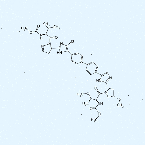 COC(=O)N[C@H](C(=O)N1N=CC[C@H]1c1nc(Cl)c(-c2ccc(-c3ccc(-c4cnc([C@@H]5C[C@H](SC)CN5C(=O)[C@@H](NC(=O)OC)[C@@H](C)OC)[nH]4)cc3)cc2)[nH]1)C(C)C